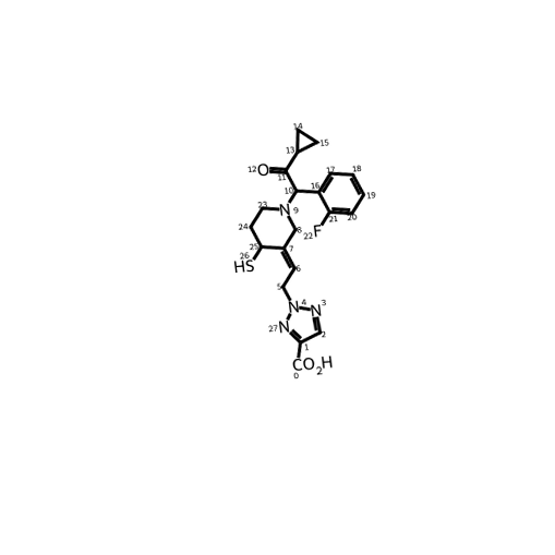 O=C(O)c1cnn(C/C=C2/CN(C(C(=O)C3CC3)c3ccccc3F)CCC2S)n1